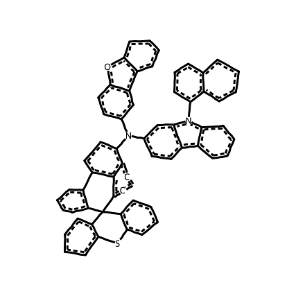 c1ccc2c(c1)Sc1ccccc1C21c2ccccc2-c2ccc(N(c3ccc4oc5ccccc5c4c3)c3ccc4c5ccccc5n(-c5cccc6ccccc56)c4c3)c3cccc1c23